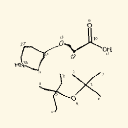 CC(C)(C)OC(C)(C)C.O=C(O)COC1CNC1